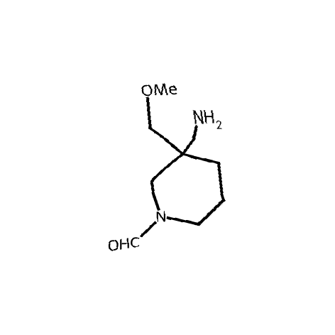 COCC1(N)CCCN(C=O)C1